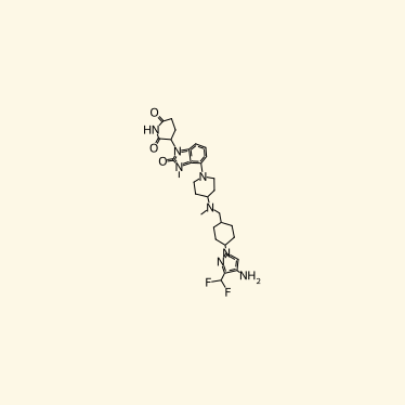 CN(CC1CCC(n2cc(N)c(C(F)F)n2)CC1)C1CCN(c2cccc3c2n(C)c(=O)n3C2CCC(=O)NC2=O)CC1